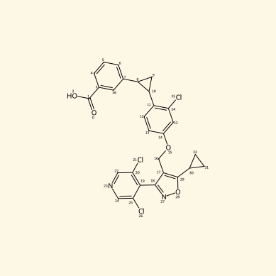 O=C(O)c1cccc(C2CC2c2ccc(OCc3c(-c4c(Cl)cncc4Cl)noc3C3CC3)cc2Cl)c1